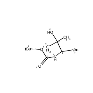 CCCCC(NC(=O)OC(C)(C)C)C(C)(C)O